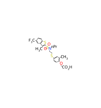 CCCN(CCSc1ccc(OCC(=O)O)c(C)c1)S(=O)(=O)c1sc2ccc(C(F)(F)F)cc2c1C